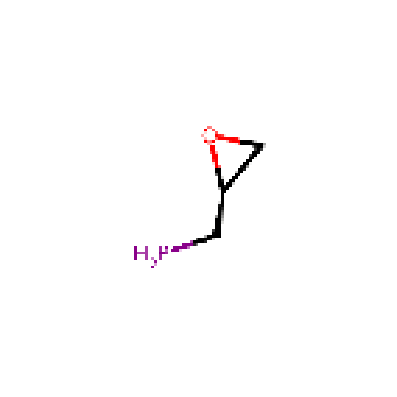 PC[C@@H]1CO1